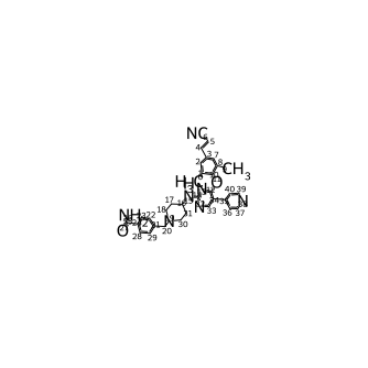 Cc1cc(C=CC#N)cc(C)c1Oc1nc(NC2CCN(Cc3ccc(C(N)=O)cc3)CC2)ncc1-c1ccncc1